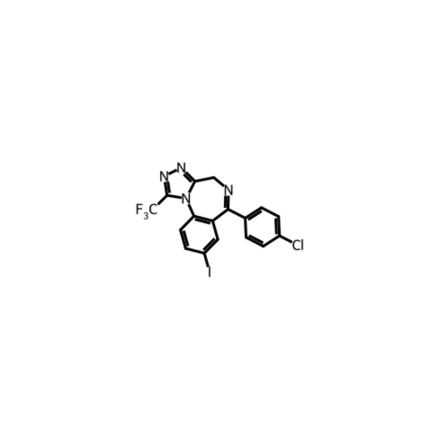 FC(F)(F)c1nnc2n1-c1ccc(I)cc1C(c1ccc(Cl)cc1)=NC2